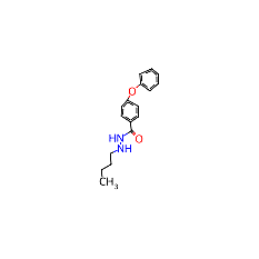 CCCCNNC(=O)c1ccc(Oc2ccccc2)cc1